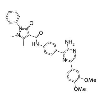 COc1ccc(-c2cnc(N)c(-c3ccc(NC(=O)c4c(C)n(C)n(-c5ccccc5)c4=O)cc3)n2)cc1OC